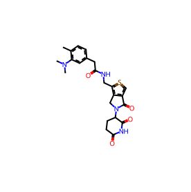 Cc1ccc(CC(=O)NCc2scc3c2CN(C2CCC(=O)NC2=O)C3=O)cc1N(C)C